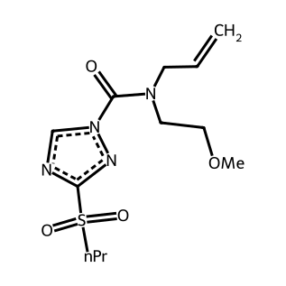 C=CCN(CCOC)C(=O)n1cnc(S(=O)(=O)CCC)n1